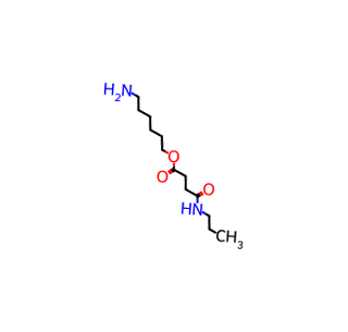 CCCNC(=O)CCC(=O)OCCCCCCN